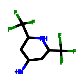 [NH]C1CC(C(F)(F)F)NC(C(F)(F)F)C1